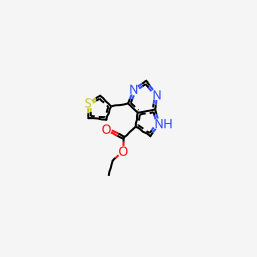 CCOC(=O)c1c[nH]c2ncnc(-c3ccsc3)c12